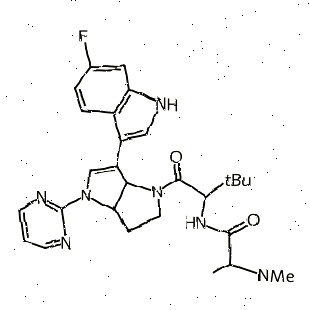 CNC(C)C(=O)NC(C(=O)N1CCC2C1C(c1c[nH]c3cc(F)ccc13)=CN2c1ncccn1)C(C)(C)C